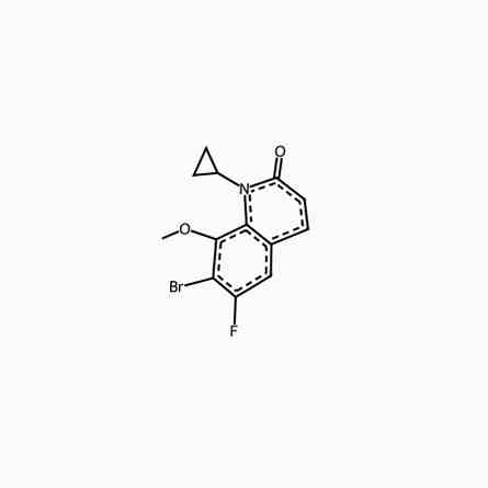 COc1c(Br)c(F)cc2ccc(=O)n(C3CC3)c12